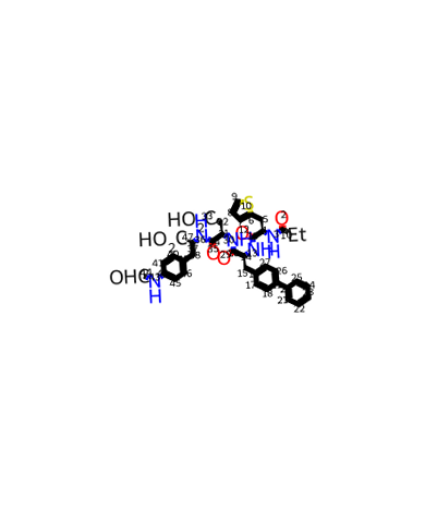 CCC(=O)N[C@H](Cc1cccs1)C(=O)N[C@@H](Cc1ccc(-c2ccccc2)cc1)C(=O)N[C@H](CC(=O)O)C(=O)N[C@@H](Cc1ccc(NC=O)cc1)C(=O)O